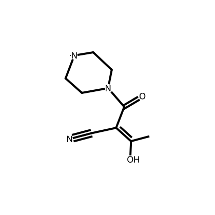 C/C(O)=C(/C#N)C(=O)N1CC[N]CC1